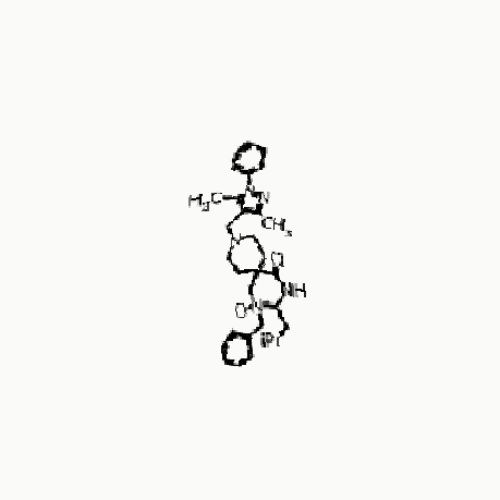 Cc1nn(-c2ccccc2)c(C)c1CN1CCC2(CC1)C[N+]([O-])(Cc1ccccc1)C(CC(C)C)NC2=O